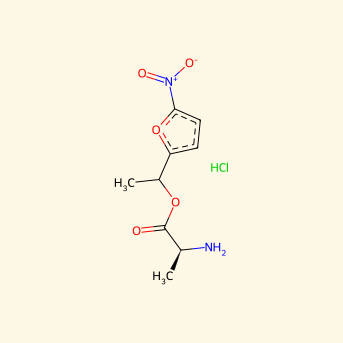 CC(OC(=O)[C@H](C)N)c1ccc([N+](=O)[O-])o1.Cl